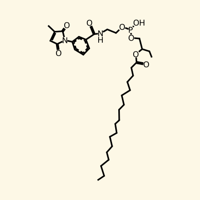 CCCCCCCCCCCCCCCCCC(=O)OC(CC)COP(O)OCCNC(=O)c1cccc(N2C(=O)C=C(C)C2=O)c1